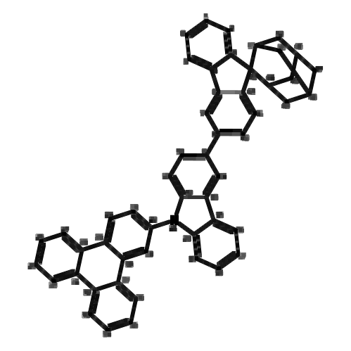 c1ccc2c(c1)-c1cc(-c3ccc4c(c3)c3ccccc3n4-c3ccc4c5ccccc5c5ccccc5c4c3)ccc1C21C2CC3CC(C2)CC1C3